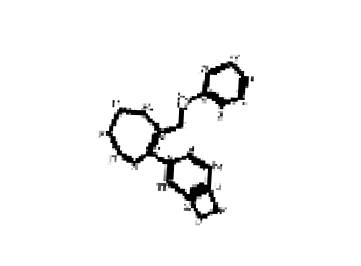 c1ccc(OCC2=C(c3ccc4c(c3)CC4)CCCCC2)cc1